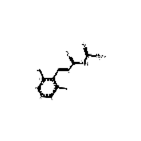 CNC(=N)NC(=O)C=Cc1c(C)cccc1C